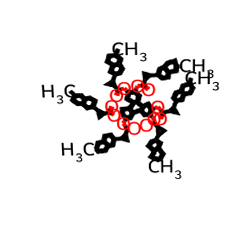 Cc1ccc2cc(C3CC3C(=O)Oc3cc4c5cc(OC(=O)C6CC6c6ccc7cc(C)ccc7c6)c(OC(=O)C6CC6c6ccc7cc(C)ccc7c6)cc5c5cc(OC(=O)C6CC6c6ccc7cc(C)ccc7c6)c(OC(=O)C6CC6c6ccc7cc(C)ccc7c6)cc5c4cc3OC(=O)C3CC3c3ccc4cc(C)ccc4c3)ccc2c1